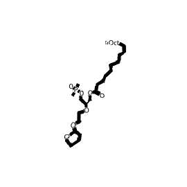 CCCCCCCC/C=C\CCCCCCCC(=O)OC[C@H](COP(C)(C)=O)OCCOC1CCCCO1